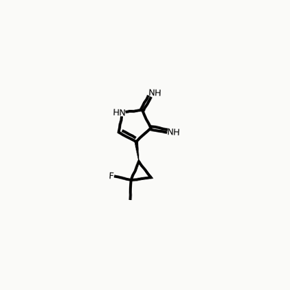 CC1(F)C[C@@H]1C1=CNC(=N)C1=N